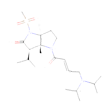 CC(C)[C@H]1C(=O)N(S(C)(=O)=O)[C@H]2CCN(C(=O)/C=C/CN(C(C)C)C(C)C)[C@H]12